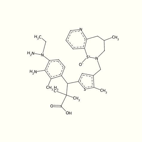 CCN(N)c1ccc(C(c2cc(CN3CC(C)Cc4ncccc4[S+]3[O-])c(C)s2)C(C)(C)C(=O)O)c(C)c1N